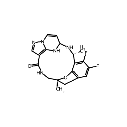 C[C@H]1NC2C=Cn3ncc(c3N2)C(=O)NC[C@@]2(C)Cc3cc(F)c(F)c1c3O2